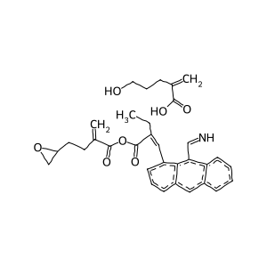 C=C(CCC1CO1)C(=O)OC(=O)C(=Cc1cccc2cc3ccccc3c(C=N)c12)CC.C=C(CCCO)C(=O)O